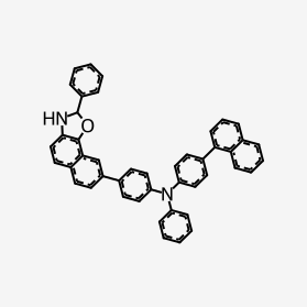 c1ccc(C2Nc3ccc4ccc(-c5ccc(N(c6ccccc6)c6ccc(-c7cccc8ccccc78)cc6)cc5)cc4c3O2)cc1